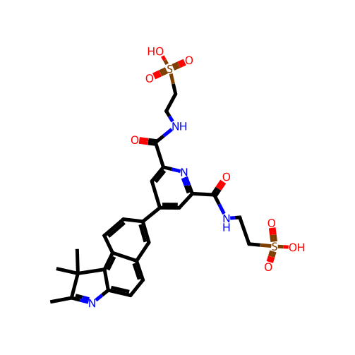 CC1=Nc2ccc3cc(-c4cc(C(=O)NCCS(=O)(=O)O)nc(C(=O)NCCS(=O)(=O)O)c4)ccc3c2C1(C)C